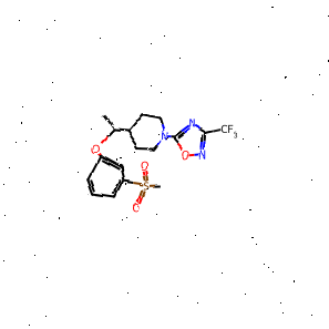 C[C@H](Oc1c[c]cc(S(C)(=O)=O)c1)C1CCN(c2nc(C(F)(F)F)no2)CC1